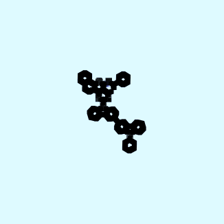 C=C(/N=c1/oc2c3ccccc3ccc2c2nc(-n3c4ccccc4c4cc(-c5ccc6c(c5)c5ccccc5n6C5C=CC=CC5)ccc43)nc(C)c12)c1ccccc1